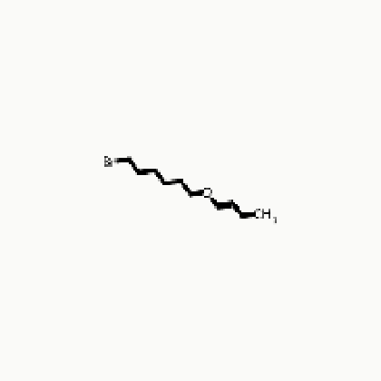 CCC=COCCCCCCBr